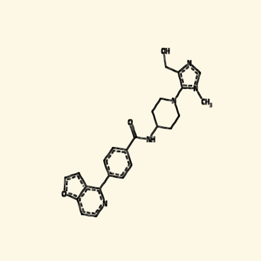 Cn1cnc(CO)c1N1CCC(NC(=O)c2ccc(-c3nccc4occc34)cc2)CC1